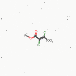 CCCOC(=O)/C(Cl)=C(\Cl)C(Cl)(Cl)Cl